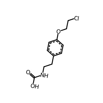 O=C(O)NCCc1ccc(OCCCl)cc1